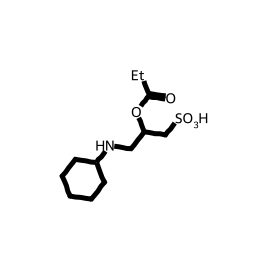 CCC(=O)OC(CNC1CCCCC1)CS(=O)(=O)O